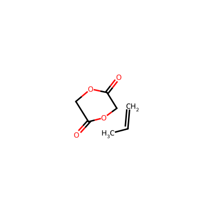 C=CC.O=C1COC(=O)CO1